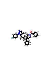 C=C(/C(C)=C\c1c(C)cnn1-c1ccc(F)cc1)[C@]12CN(C(=O)c3ccccc3)C[C@H]1[C@]2(C)c1ccccc1